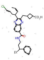 C/C=C\C(C/C=C/Cl)c1nc2ccc(C(=O)NCCC(CC)c3ccccc3)cc2nc1CC1CC(C(=O)O)C1